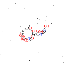 C=CCC1/C=C(\C)CC(C)CC(OC)C2OC(O)(C(=O)C(=O)N3CCCCC3C(=O)OC(C(C)=CC3CCC(N(C)c4ccc5c(ccn5CCO)c4)C(O)C3)C(C)C(O)CC1=O)C(C)CC2OC